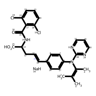 CC(C)=C(C)N(c1ccc(/C=C/CC(NC(=O)c2c(Cl)cccc2Cl)C(=O)O)cc1)c1ncccn1.[NaH]